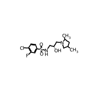 CC1CC(C)N(C[C@H](O)CNS(=O)(=O)c2ccc(Cl)c(F)c2)C1